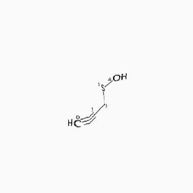 C#CCSO